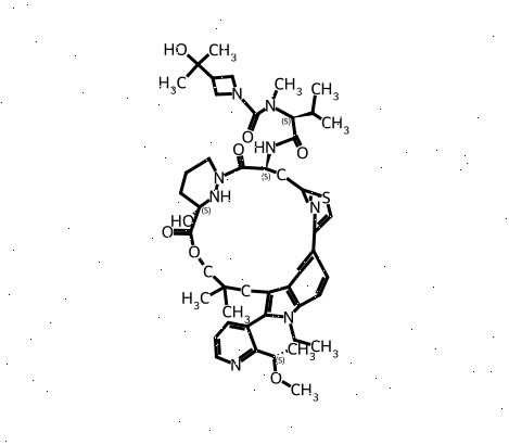 CCn1c(-c2cccnc2[C@H](C)OC)c2c3cc(ccc31)-c1csc(n1)C[C@H](NC(=O)[C@H](C(C)C)N(C)C(=O)N1CC(C(C)(C)O)C1)C(=O)N1CCC[C@@](O)(N1)C(=O)OCC(C)(C)C2